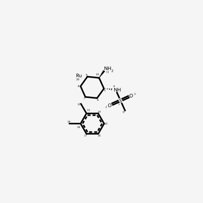 CS(=O)(=O)N[C@@H]1CCCC[C@H]1N.Cc1ccccc1C.[Ru]